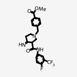 COC(=O)c1ccc(CN2CCC(=N)C(C(=O)Nc3ccc(F)c(C(F)(F)F)c3)C2)cc1